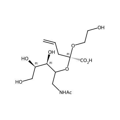 C=CC[C@@](OCCO)(OC(CNC(C)=O)[C@H](O)[C@H](O)CO)C(=O)O